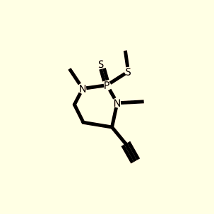 C#CC1CCN(C)P(=S)(SC)N1C